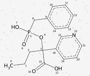 CCCC(OP(=O)(O)Cc1ccccc1)(C(=O)O)c1cccnc1